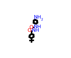 CC(C)(C)c1ccc(C(=O)NC(=O)Nc2ccc(N)cc2)cc1